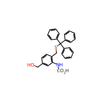 O=C(O)Nc1cc(CO)ccc1CSC(c1ccccc1)(c1ccccc1)c1ccccc1